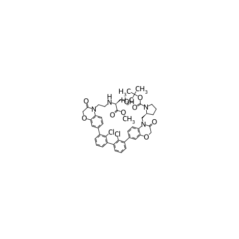 COC(=O)[C@H](CO)NCCN1C(=O)COc2cc(-c3cccc(-c4cccc(-c5ccc6c(c5)OCC(=O)N6C[C@@H]5CCCN5C(=O)OC(C)(C)C)c4Cl)c3Cl)ccc21